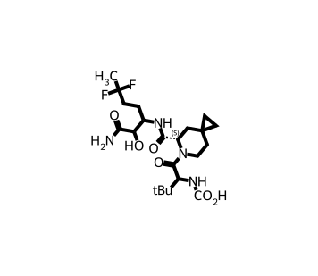 CC(F)(F)CCC(NC(=O)[C@@H]1CC2(CCN1C(=O)C(NC(=O)O)C(C)(C)C)CC2)C(O)C(N)=O